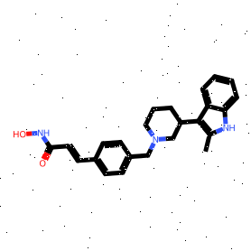 Cc1[nH]c2ccccc2c1C1CCCN(Cc2ccc(C=CC(=O)NO)cc2)C1